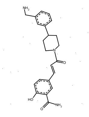 NCc1cccc(C2CCN(C(=O)C=Cc3ccc(O)c(C(N)=O)c3)CC2)c1